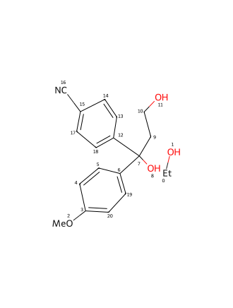 CCO.COc1ccc(C(O)(CCO)c2ccc(C#N)cc2)cc1